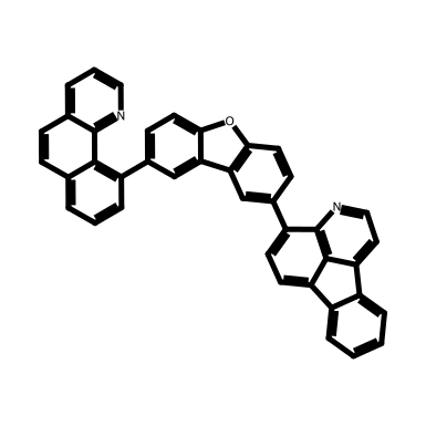 c1ccc2c(c1)-c1ccnc3c(-c4ccc5oc6ccc(-c7cccc8ccc9cccnc9c78)cc6c5c4)ccc-2c13